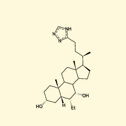 CC[C@H]1[C@@H](O)C2C3CC[C@H]([C@H](C)CCc4nnc[nH]4)[C@@]3(C)CCC2[C@@]2(C)CC[C@@H](O)C[C@@H]12